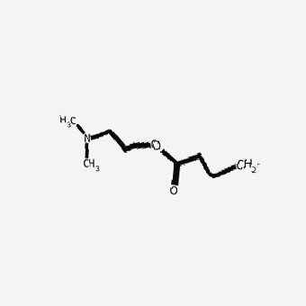 [CH2]CCC(=O)OCCN(C)C